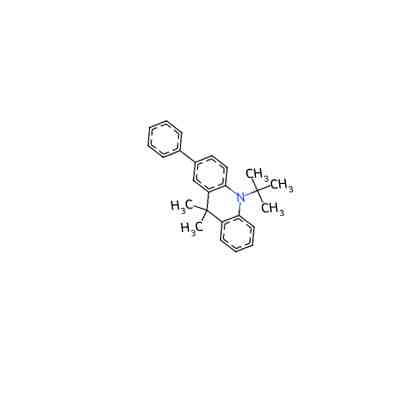 CC1(C)c2ccccc2N(C(C)(C)C)c2ccc(-c3ccccc3)cc21